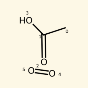 CC(=O)O.O=O